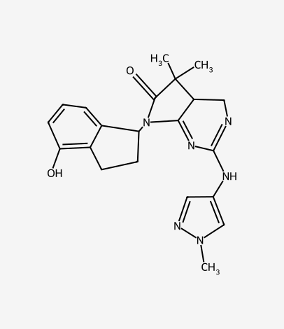 Cn1cc(NC2=NCC3C(=N2)N(C2CCc4c(O)cccc42)C(=O)C3(C)C)cn1